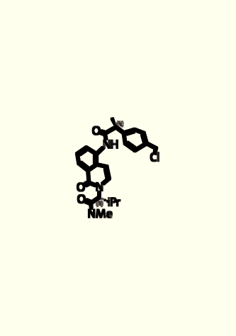 CNC(=O)[C@@H](C(C)C)n1ccc2c(NC(=O)[C@@H](C)c3ccc(CCl)cc3)cccc2c1=O